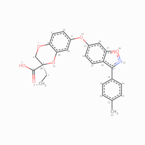 CC[C@]1(C(=O)O)COc2ccc(Oc3ccc4c(-c5ccc(C)cc5)noc4c3)cc2O1